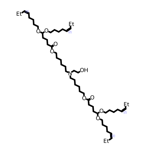 CC/C=C\CCCCOC(CCCC(=O)OCCCCCCN(CCO)CCCCCCOC(=O)CCCC(OCCCC/C=C\CC)OCCCC/C=C\CC)OCCCC/C=C\CC